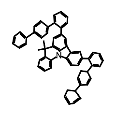 CC1(C)c2ccccc2-n2c3ccc(-c4ccccc4C4C=CC(C5C=CC=CC5)=CC4)cc3c3cc(-c4ccccc4-c4ccc(-c5ccccc5)cc4)cc1c32